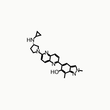 Cc1c(O)c(-c2ccc3nc(N4CC[C@H](NC5CC5)C4)ccc3n2)cc2cn(C)nc12